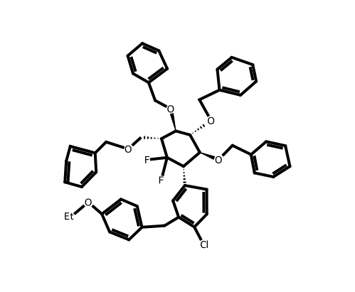 CCOc1ccc(Cc2cc([C@H]3[C@H](OCc4ccccc4)[C@@H](OCc4ccccc4)[C@H](OCc4ccccc4)[C@@H](COCc4ccccc4)C3(F)F)ccc2Cl)cc1